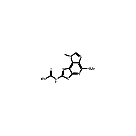 CNc1nc2sc(NC(=O)C(C)(C)C)nc2c2c1ncn2C